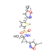 Cc1cc(C2CC2(NS(=O)(=O)c2ccc(-c3cc(C(F)(F)F)on3)s2)C(=O)O)no1